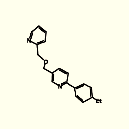 CCc1ccc(-c2ccc(COCc3ccccn3)cn2)cc1